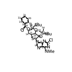 CNc1nc(Cl)nc2c1ncn2C1SC(COC(=O)c2ccccc2)C(O[Si](C)(C)C(C)(C)C)C1O[Si](C)(C)C(C)(C)C